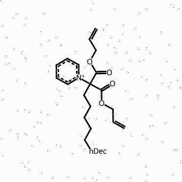 C=CCOC(=O)C(CCCCCCCCCCCCCCC)(C(=O)OCC=C)[n+]1ccccc1